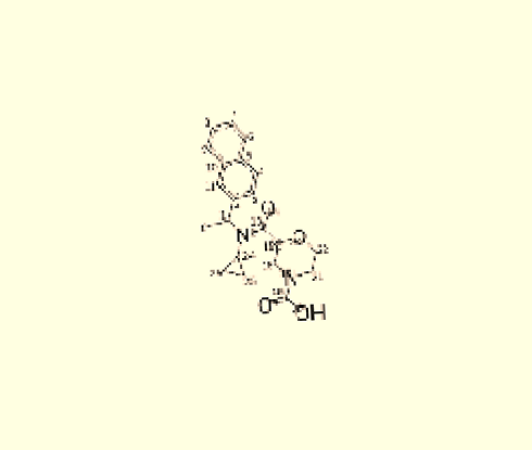 CC(c1ccc2ccccc2c1)N(C(=O)[C@H]1CN(C(=O)O)CCO1)C1CC1